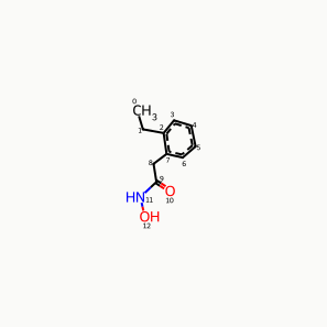 CCc1ccccc1CC(=O)NO